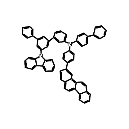 c1ccc(-c2ccc(N(c3ccc(-c4ccc5ccc6c7ccccc7ccc6c5c4)cc3)c3cccc(-c4cc(-c5ccccc5)cc(-n5c6ccccc6c6ccccc65)c4)c3)cc2)cc1